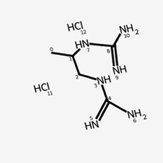 CC(CNC(=N)N)NC(=N)N.Cl.Cl